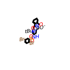 CC(C)(C)[N+]1(C(=O)[O-])C[C@H](NS(=O)(=O)c2cc(Br)ccc2Br)C[C@@H]1CN1C(=O)c2ccccc2C1=O